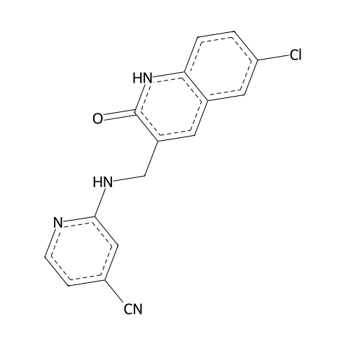 N#Cc1ccnc(NCc2cc3cc(Cl)ccc3[nH]c2=O)c1